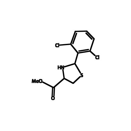 COC(=O)C1CSC(c2c(Cl)cccc2Cl)N1